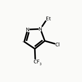 CCn1n[c]c(C(F)(F)F)c1Cl